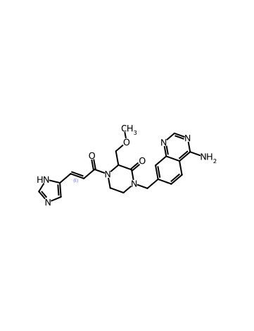 COCC1C(=O)N(Cc2ccc3c(N)ncnc3c2)CCN1C(=O)/C=C/c1cnc[nH]1